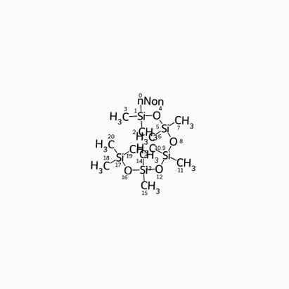 [CH2]CCCCCCCC[Si](C)(C)O[Si](C)(C)O[Si](C)(C)O[Si](C)(C)O[Si](C)(C)C